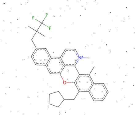 Cc1c2c(c(CC3CCCC3)c3ccccc13)Oc1cc3ccc(CC(C)(C)C(F)(F)F)cc3c3cc[n+](C)c-2c13